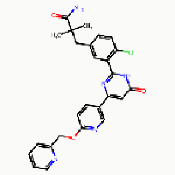 CC(C)(Cc1ccc(Cl)c(-c2nc(-c3ccc(OCc4ccccn4)nc3)cc(=O)[nH]2)c1)C(N)=O